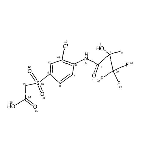 CC(O)(C(=O)Nc1ccc(S(=O)(=O)CC(=O)O)cc1Cl)C(F)(F)F